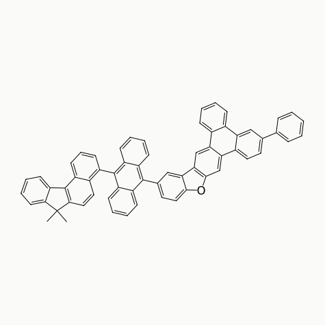 CC1(C)c2ccccc2-c2c1ccc1c(-c3c4ccccc4c(-c4ccc5oc6cc7c8ccc(-c9ccccc9)cc8c8ccccc8c7cc6c5c4)c4ccccc34)cccc21